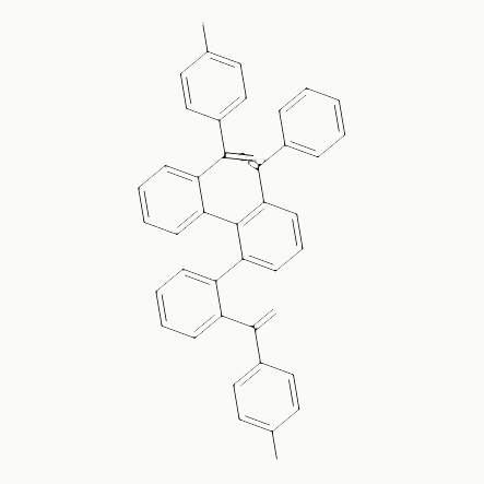 O=C(c1ccc(Cl)cc1)c1ccccc1-c1cccc(C(=O)c2ccccc2)c1-c1ccccc1C(=O)c1ccc(Cl)cc1